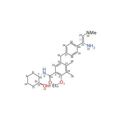 CCOc1c(C(=O)N[C@H]2CCCC[C@@H]2O)cc(Cc2ccc(/C(N)=C/NC)cc2)c(C)c1C